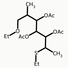 CCOCC(C)C(OC(C)=O)C(OC(C)=O)C(OC(C)=O)C(C)SCC